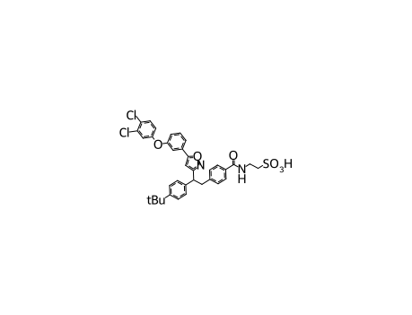 CC(C)(C)c1ccc(C(Cc2ccc(C(=O)NCCS(=O)(=O)O)cc2)c2cc(-c3cccc(Oc4ccc(Cl)c(Cl)c4)c3)on2)cc1